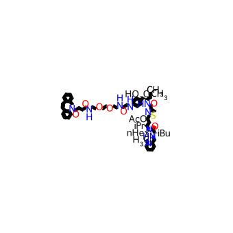 CCCCCCN(C(=O)[C@@H](NCC1CCCCN1C)[C@@H](C)CC)[C@H](C[C@@H](OC(C)=O)c1nc(C(=O)N[C@@H](Cc2ccc(NCC(=O)NCCOCCOCCNC(=O)CCC(=O)N3Cc4ccccc4/C=C\C4=C3CCC=C4)cc2)CC(C)(C)C(=O)O)cs1)C(C)C